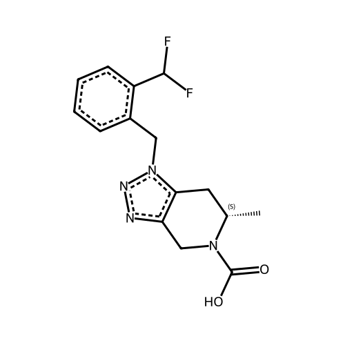 C[C@H]1Cc2c(nnn2Cc2ccccc2C(F)F)CN1C(=O)O